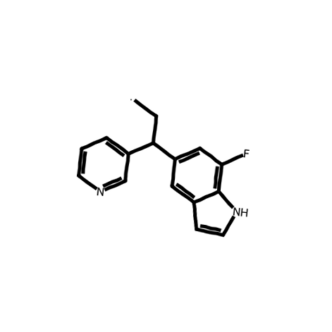 [CH2]CC(c1cccnc1)c1cc(F)c2[nH]ccc2c1